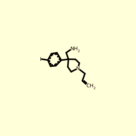 C=CCN1CCC(CN)(c2ccc(I)cc2)CC1